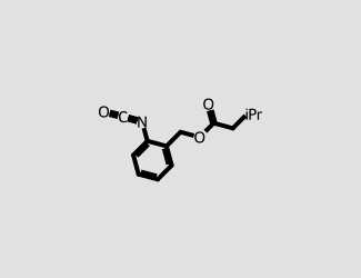 CC(C)CC(=O)OCc1ccccc1N=C=O